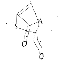 O=C1c2[c]n1c(=O)s2